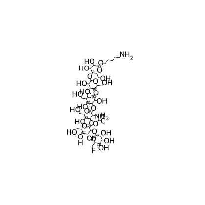 CC(=O)NC1C(O[C@@H]2OC(CO)[C@H](O)C(O)C2O[C@@H]2OC(CF)[C@@H](O)C(O)C2O)[C@@H](O)C(CO)O[C@H]1OC1C(O)[C@@H](O[C@H]2C(CO)O[C@@H](O[C@@H]3C(CO)O[C@@H](OCCCCCN)C(O)C3O)C(O)C2O)OC(CO)[C@@H]1O